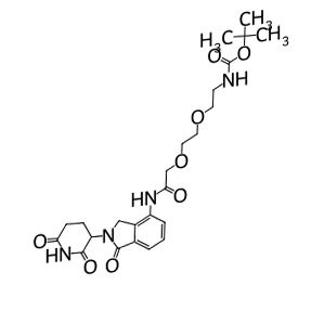 CC(C)(C)OC(=O)NCCOCCOCC(=O)Nc1cccc2c1CN(C1CCC(=O)NC1=O)C2=O